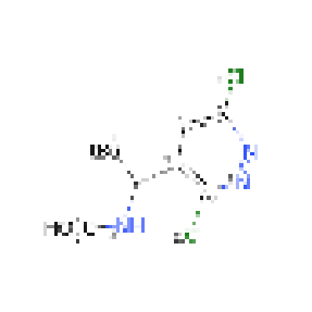 CC(C)(C)C(NC(=O)O)c1cc(Cl)nnc1Cl